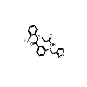 Cc1ccccc1[C@H](CCC(=O)O)C(=O)c1cccc(OCc2ccsn2)c1